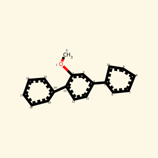 COc1cc(-c2ccccc2)ccc1-c1cc[c]cc1